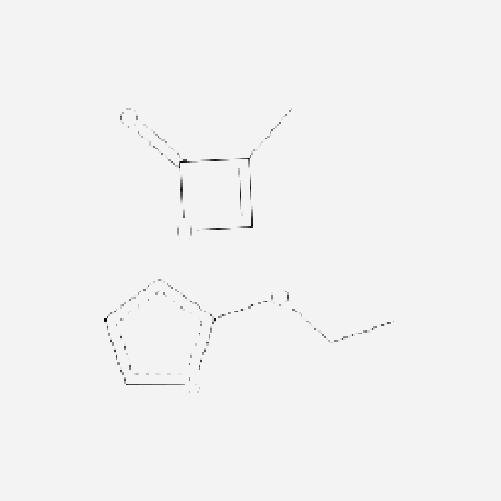 CC1=COC1=O.CCOc1cccs1